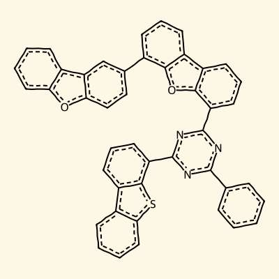 c1ccc(-c2nc(-c3cccc4c3oc3c(-c5ccc6oc7ccccc7c6c5)cccc34)nc(-c3cccc4c3sc3ccccc34)n2)cc1